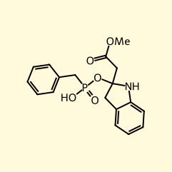 COC(=O)CC1(OP(=O)(O)Cc2ccccc2)Cc2ccccc2N1